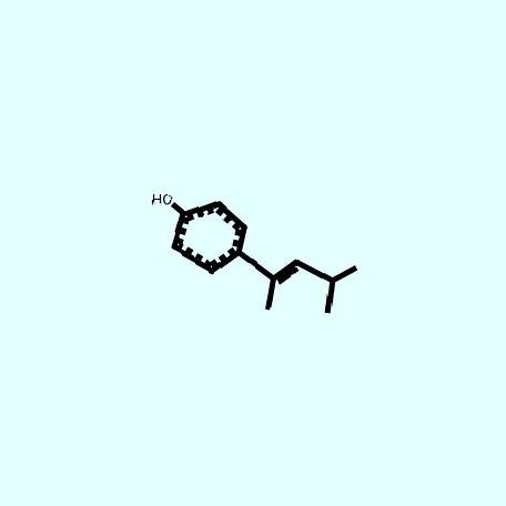 CC(=CC(C)C)c1ccc(O)cc1